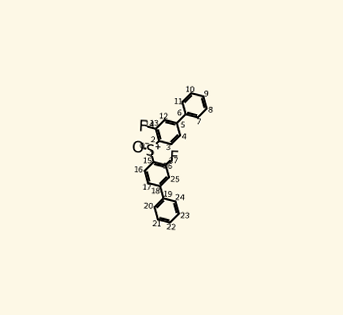 [O-][S+](c1ccc(-c2ccccc2)cc1F)c1ccc(-c2ccccc2)cc1F